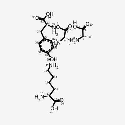 C[C@H](N)C(=O)O.C[C@H](N)C(=O)O.NCCCC[C@H](N)C(=O)O.N[C@@H](Cc1ccc(O)cc1)C(=O)O